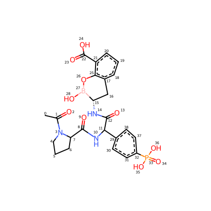 CC(=O)N1CCCC1C(=O)NC(C(=O)N[C@H]1Cc2cccc(C(=O)O)c2OB1O)c1ccc(P(=O)(O)O)cc1